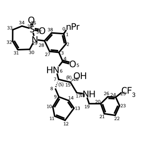 CCCc1cc(C(=O)N[C@@H](Cc2ccccc2)[C@H](O)CNCc2cccc(C(F)(F)F)c2)cc(N2CC=CCCS2(=O)=O)c1